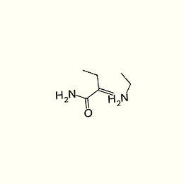 C=C(CC)C(N)=O.CCN